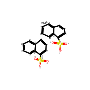 O=S(=O)([O-])c1cccc2ccccc12.O=S(=O)([O-])c1cccc2ccccc12.[Ni+2]